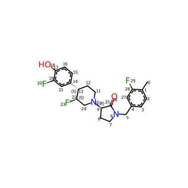 Cc1ccc(CN2CC[C@@H](N3CC[C@@H](c4ccc(O)c(F)c4)[C@H](F)C3)C2=O)cc1F